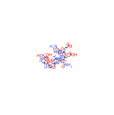 COC(=O)/C=C/CC[C@H](NC(=O)[C@H](CC(N)=O)NC(C)=O)C(=O)N[C@@H](CCCC(=O)O)C(=O)N[C@@H](CCC(N)=O)C(=O)N[C@H](C(=O)N[C@@H](CO)C(=O)N1CCC[C@H]1C(=O)N[C@@H](CC(C)C)C(=O)N[C@H](C(=O)O)C(C)O)C(C)C